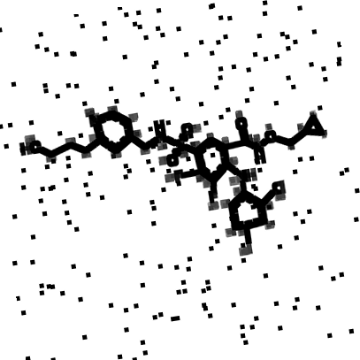 O=C(NOCC1CC1)c1cc(S(=O)(=O)NCc2ccnc(CCCO)c2)c(F)c(F)c1Nc1ccc(I)cc1Cl